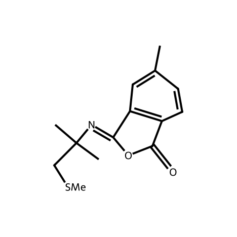 CSCC(C)(C)N=C1OC(=O)c2ccc(C)cc21